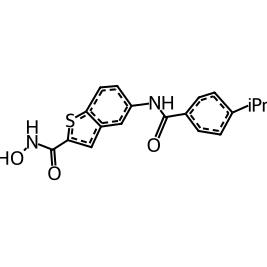 CC(C)c1ccc(C(=O)Nc2ccc3sc(C(=O)NO)cc3c2)cc1